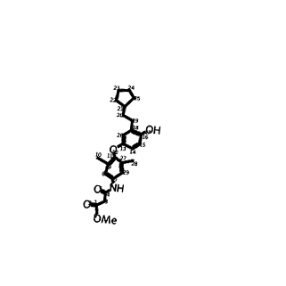 COC(=O)CC(=O)Nc1cc(C)c(Oc2ccc(O)c(CCC3CCCC3)c2)c(C)c1